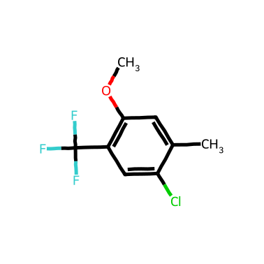 COc1cc(C)c(Cl)cc1C(F)(F)F